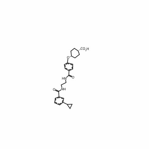 O=C(NCCNC(=O)c1cccc(C2CC2)c1)c1ccc(O[C@H]2CC[C@@H](C(=O)O)CC2)cc1